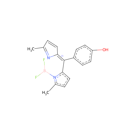 CC1=N/C(=C(/c2ccc(O)cc2)c2ccc(C)n2B(F)F)C=C1